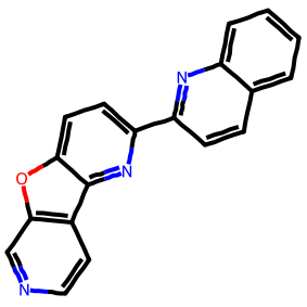 c1ccc2nc(-c3ccc4oc5cnccc5c4n3)ccc2c1